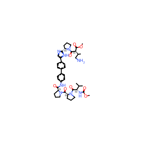 COC(=O)N[C@H](C(=O)N1CCC[C@H]1C(=O)N1CCC[C@H]1C(=O)Nc1ccc(-c2ccc(-c3cnc([C@@H]4CCCN4C(=O)[C@@H](C(=O)OC)C(C)CN)[nH]3)cc2)cc1)C(C)C